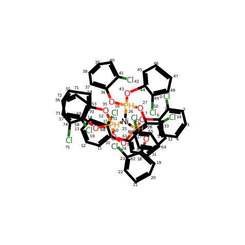 Clc1ccccc1O[PH](Oc1ccccc1Cl)(Oc1ccccc1Cl)[Ni]([PH](Oc1ccccc1Cl)(Oc1ccccc1Cl)Oc1ccccc1Cl)[PH](Oc1ccccc1Cl)(Oc1ccccc1Cl)Oc1ccccc1Cl